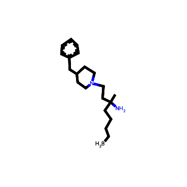 BCCCCC(C)(N)CCN1CCC(Cc2ccccc2)CC1